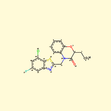 O=C(O)CC1Oc2ccccc2N(Cc2nc3cc(F)cc(Cl)c3s2)C1=O